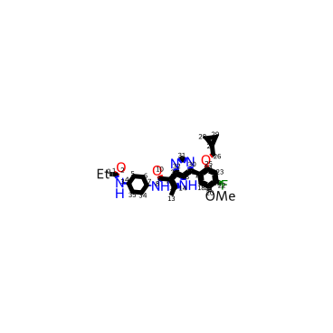 CCC(=O)N[C@H]1CC[C@H](NC(=O)c2c(C)[nH]c3c(-c4cc(OC)c(F)cc4OCC4CC4)ncnc23)CC1